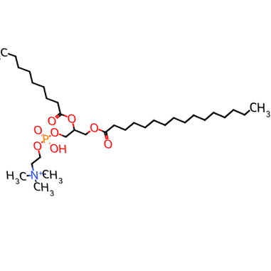 CCCCCCCCCCCCCCCC(=O)OCC(COP(=O)(O)OCC[N+](C)(C)C)OC(=O)CCCCCCCC